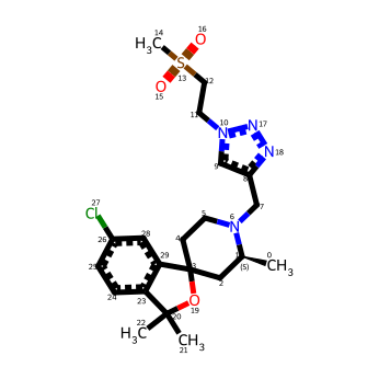 C[C@H]1CC2(CCN1Cc1cn(CCS(C)(=O)=O)nn1)OC(C)(C)c1ccc(Cl)cc12